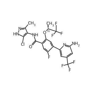 Cc1n[nH]c(Cl)c1NC(=O)c1cc(F)c(-c2cc(C(F)(F)F)cc(N)n2)cc1O[C@@H](C)C(F)(F)F